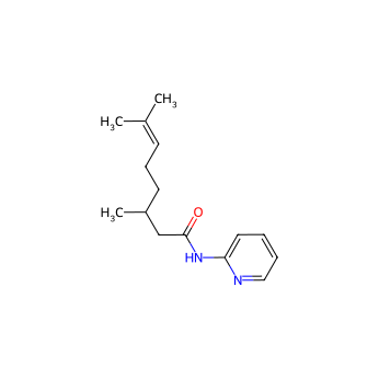 CC(C)=CCCC(C)CC(=O)Nc1ccccn1